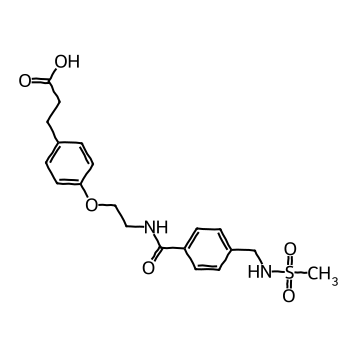 CS(=O)(=O)NCc1ccc(C(=O)NCCOc2ccc(CCC(=O)O)cc2)cc1